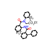 CCOC(=O)CN(C(=O)c1ccccc1NC(=O)c1c(C)cccc1-c1ccccc1)c1ccccc1C